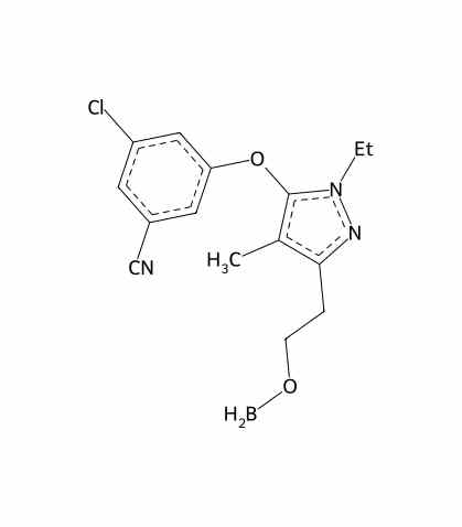 BOCCc1nn(CC)c(Oc2cc(Cl)cc(C#N)c2)c1C